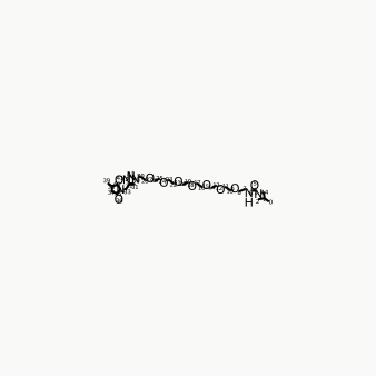 CC1CN(C(=O)NCCOCCOCCOCCOCCOCCOCCOCCn2cc(CN3C(=O)CC(C)C3=O)nn2)C1